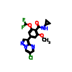 COc1cc(-c2cnn3cc(Cl)cnc23)cc(OC(F)F)c1C(=O)NC1CC1